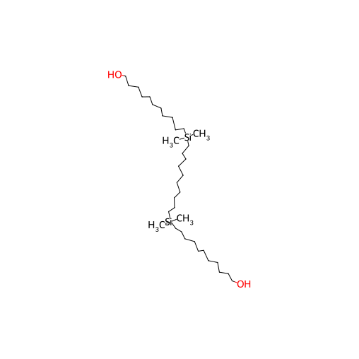 C[Si](C)(CCCCCCCCCCCO)CCCCCCCCCC[Si](C)(C)CCCCCCCCCCCO